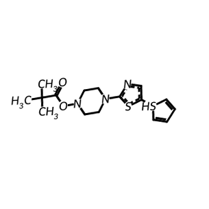 CC(C)(C)C(=O)ON1CCN(c2ncc([SH]3C=CC=C3)s2)CC1